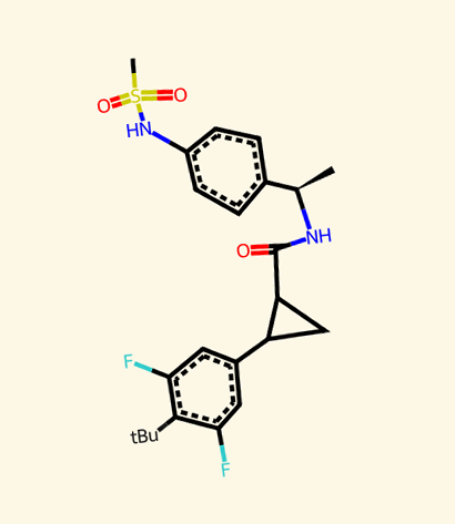 C[C@@H](NC(=O)C1CC1c1cc(F)c(C(C)(C)C)c(F)c1)c1ccc(NS(C)(=O)=O)cc1